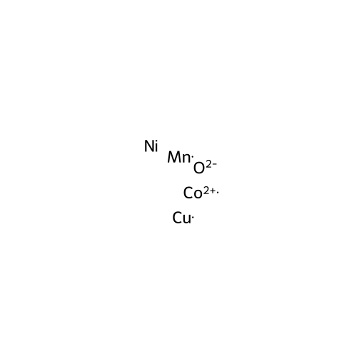 [Co+2].[Cu].[Mn].[Ni].[O-2]